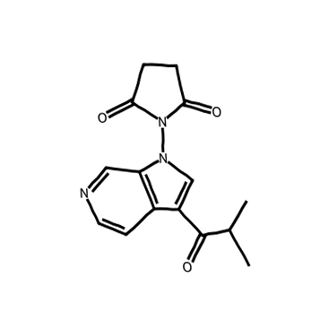 CC(C)C(=O)c1cn(N2C(=O)CCC2=O)c2cnccc12